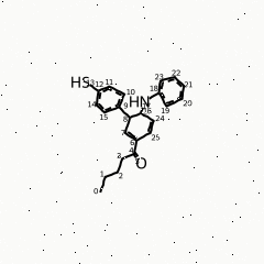 CCCCC(=O)C1=CC(c2ccc(S)cc2)C(Nc2ccccc2)C=C1